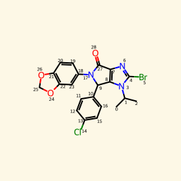 CC(C)n1c(Br)nc2c1C(c1ccc(Cl)cc1)N(c1ccc3c(c1)OCO3)C2=O